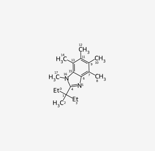 CCC(C)(CC)c1nc2c(C)c(C)c(C)c(C)c2n1C